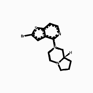 Brc1cc2c(N3CCN4CCC[C@H]4C3)nccc2s1